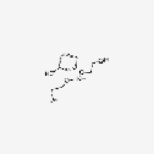 OCCONOCCO.Oc1ccccc1